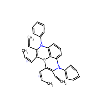 C=CC1=C(/C=C\C)B2C(/C=C\C)=C(C=C)N(c3ccccc3)c3cccc(c32)N1c1ccccc1